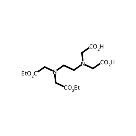 CCOC(=O)CN(CCN(CC(=O)O)CC(=O)O)CC(=O)OCC